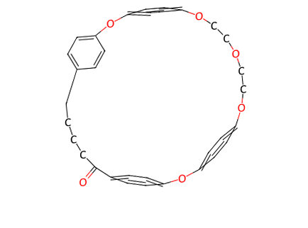 O=C1CCCCc2ccc(cc2)Oc2ccc(cc2)OCCOCCOc2ccc(cc2)Oc2ccc1cc2